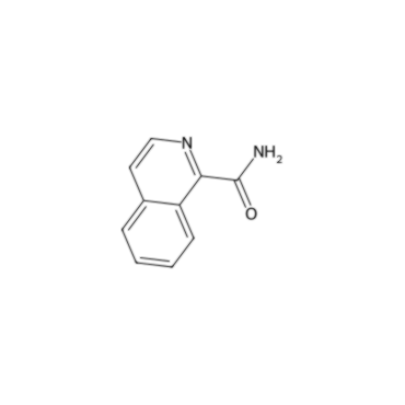 NC(=O)c1nccc2ccccc12